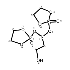 O=P1(ON(CCO)OP2(=O)OCCO2)OCCO1